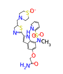 CN(c1cc(OCC(N)=O)cc2cc(C3=NCC(CN4CC[S+]([O-])CC4)S3)[nH]c12)S(=O)(=O)c1ccccn1